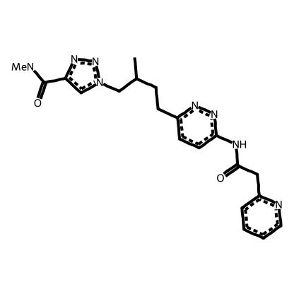 CNC(=O)c1cn(CC(C)CCc2ccc(NC(=O)Cc3ccccn3)nn2)nn1